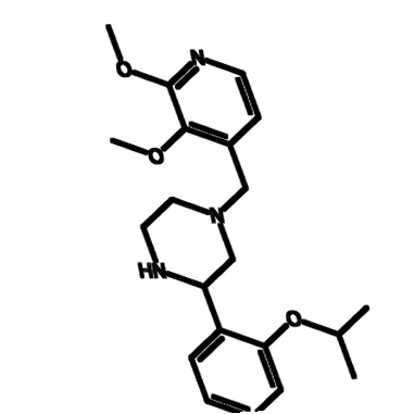 COc1nccc(CN2CCNC(c3ccccc3OC(C)C)C2)c1OC